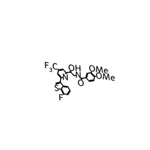 COc1ccc(C(=O)NCC(=O)c2cc(C(F)(F)F)cc(-c3csc4c(F)cccc34)n2)cc1OC